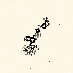 C[C@@H](O[Si](C)(C)C(C)(C)C)c1cc(F)c(CNC2CC(Oc3ccc(F)c(C(F)(F)F)c3)C2)c2ccncc12